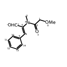 COCC(=O)N(C)C([C]=O)=Cc1ccccc1